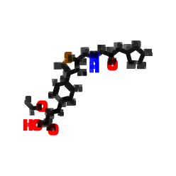 CCO[C@@H](Cc1ccc(-c2csc(CNCC(=O)CC3CCCC3)c2)cc1)C(=O)O